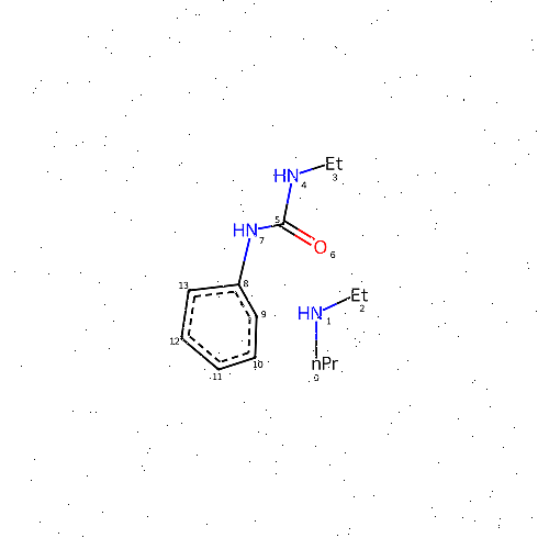 CCCNCC.CCNC(=O)Nc1ccccc1